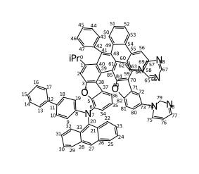 CC(C)c1cc2oc3c(N(c4ccc(-c5ccccc5)cc4)c4c5ccccc5cc5ccccc45)cccc3c2c2c1c(-c1ccccc1)c(-c1ccccc1-c1ccccc1)c1cc(N3C=NC=NC3)c3c4cc(N5C=CC=NC5)ccc4oc3c12